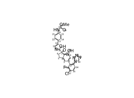 C\C=C(/C=C1/CCC(O)(c2ncc(-c3ccc(NC(=O)OC)cc3)o2)/C1=N\O)c1c(-n2cnnn2)ccc(Cl)c1F